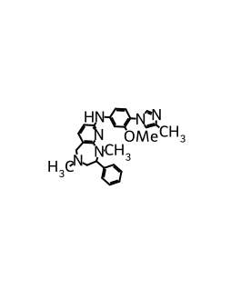 COc1cc(Nc2ccc3c(n2)N(C)C(c2ccccc2)CN(C)C3)ccc1-n1cnc(C)c1